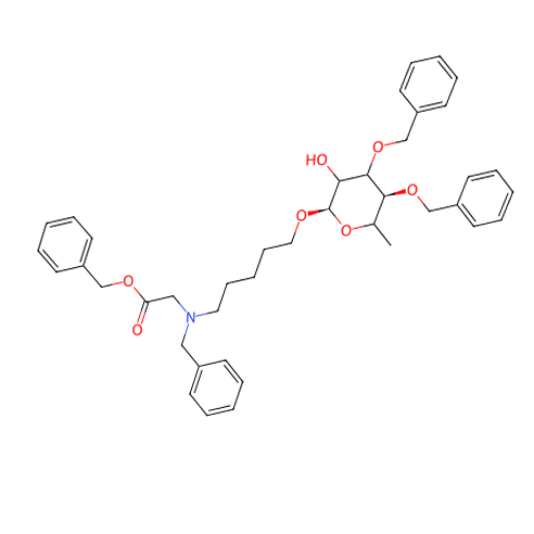 CC1O[C@@H](OCCCCCN(CC(=O)OCc2ccccc2)Cc2ccccc2)C(O)C(OCc2ccccc2)[C@H]1OCc1ccccc1